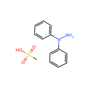 CS(=O)(=O)O.NN(c1ccccc1)c1ccccc1